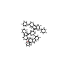 c1ccc(-c2ccc3c4ccccc4n(-c4nc(-c5cccc6sc7ccccc7c56)nc(-n5c6cc(-c7ccccc7)ccc6c6ccc(-c7ccccc7)cc65)n4)c3c2)cc1